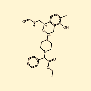 CCOC(=O)C(c1ccccc1)N1CCC([C@@H]2Cc3c(ccc(C)c3O)[C@H](CNC=O)O2)CC1